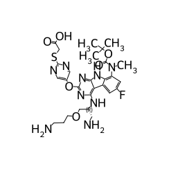 CN(C(=O)OC(C)(C)C)c1cc(F)cc2c1[nH]c1nc(Oc3cnc(SCC(=O)O)nc3)nc(N[C@H](CN)COCCCN)c12